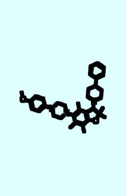 COc1ccc(N2CCN(c3c(C)c(C)c4c(c3C)C(N3CCC(c5ccccc5)CC3)C(C)(C)O4)CC2)cc1